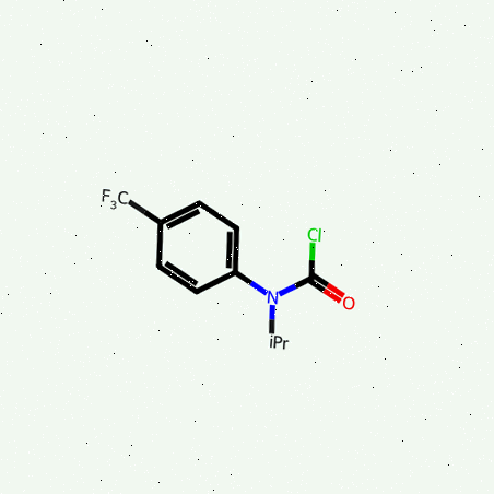 CC(C)N(C(=O)Cl)c1ccc(C(F)(F)F)cc1